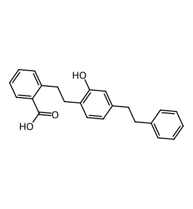 O=C(O)c1ccccc1CCc1ccc(CCc2ccccc2)cc1O